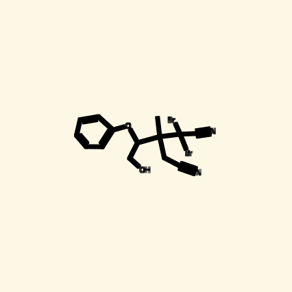 CC(CC#N)(C(CO)Oc1ccccc1)C(Br)(Br)C#N